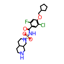 O=C(NS(=O)(=O)N1CCC2CCNCC2C1)c1cc(Cl)c(OCC2CCCC2)cc1F